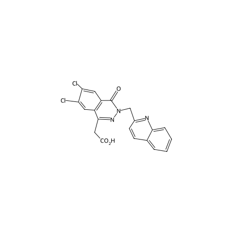 O=C(O)Cc1nn(Cc2ccc3ccccc3n2)c(=O)c2cc(Cl)c(Cl)cc12